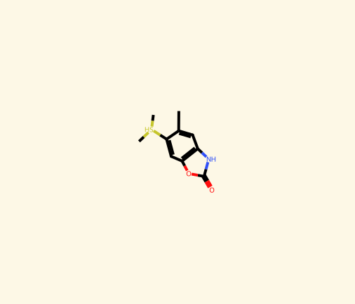 Cc1cc2[nH]c(=O)oc2cc1[SH](C)C